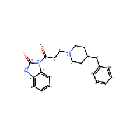 O=C(CCN1CCC(Cc2ccccc2)CC1)n1c(=O)[nH]c2ccccc21